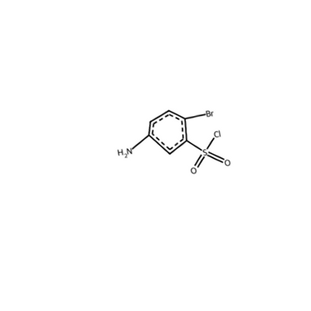 Nc1ccc(Br)c(S(=O)(=O)Cl)c1